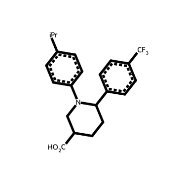 CC(C)c1ccc(N2CC(C(=O)O)CCC2c2ccc(C(F)(F)F)cc2)cc1